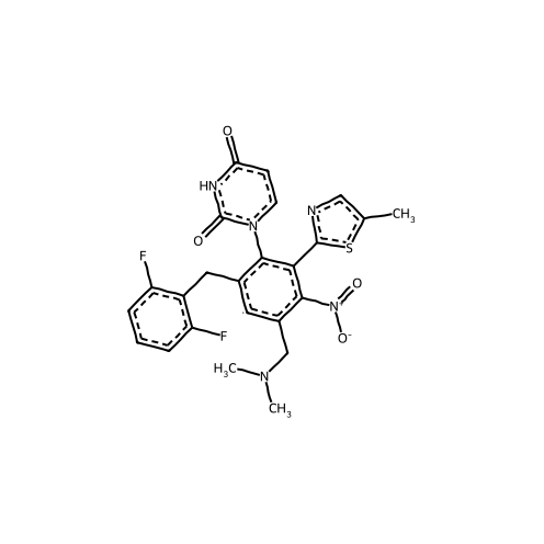 Cc1cnc(-c2c(-n3ccc(=O)[nH]c3=O)c(Cc3c(F)cccc3F)[c]c(CN(C)C)c2[N+](=O)[O-])s1